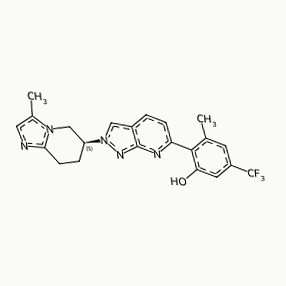 Cc1cc(C(F)(F)F)cc(O)c1-c1ccc2cn([C@H]3CCc4ncc(C)n4C3)nc2n1